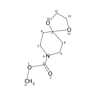 COC(=O)N1CCC2(CC1)OCCO2